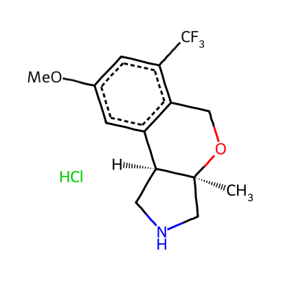 COc1cc2c(c(C(F)(F)F)c1)CO[C@@]1(C)CNC[C@@H]21.Cl